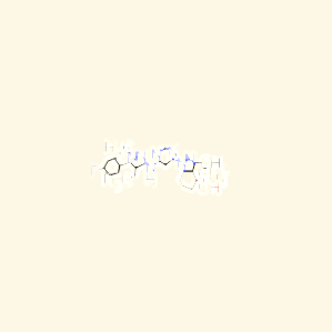 CCc1c(Nc2cc(-n3nc(C)c4c3CCCC4(C)O)ncn2)nn(C)c1-c1ccc(F)cc1